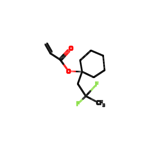 C=CC(=O)OC1(CC(F)(F)C(F)(F)F)CCCCC1